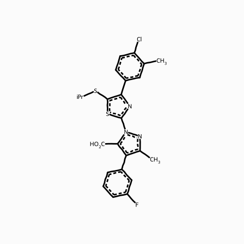 Cc1cc(-c2nc(-n3nc(C)c(-c4cccc(F)c4)c3C(=O)O)sc2SC(C)C)ccc1Cl